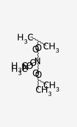 CCCCCCC(CCCCCC)CCCOC(=O)CCCCCCCN(CCCCCCCC(=O)OCCCC(CCCCCC)CCCCCC)CCOCCOCCN(C)C